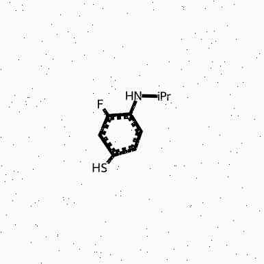 CC(C)Nc1ccc(S)cc1F